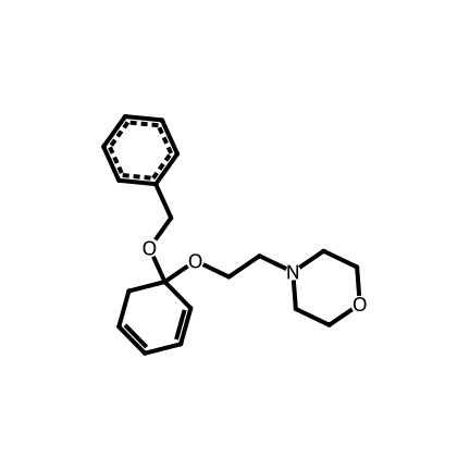 C1=CCC(OCCN2CCOCC2)(OCc2ccccc2)C=C1